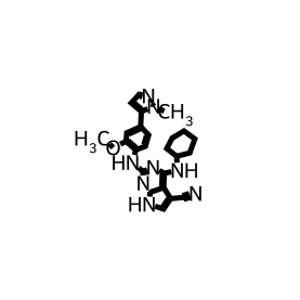 COc1cc(-c2ccnn2C)ccc1Nc1nc(NC2CCCCC2)c2c(C#N)c[nH]c2n1